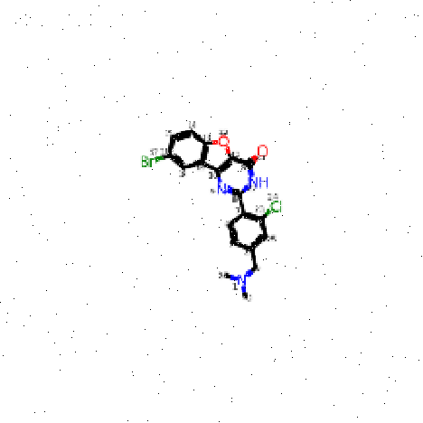 CN(C)Cc1ccc(-c2nc3c(oc4ccc(Br)cc43)c(=O)[nH]2)c(Cl)c1